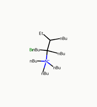 CCCCC(CC)C(CCCC)(CCCC)[N+](CCCC)(CCCC)CCCC.[Br-]